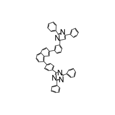 c1ccc(-c2cc(-c3cccc(-c4ccc5cccc(-c6ccc(-c7nc(-c8ccccc8)nc(-c8ccccc8)n7)cc6)c5c4)c3)nc(-c3ccccc3)n2)cc1